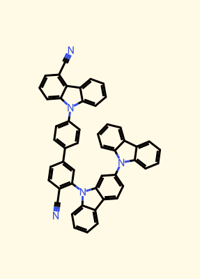 N#Cc1ccc(-c2ccc(-n3c4ccccc4c4c(C#N)cccc43)cc2)cc1-n1c2ccccc2c2ccc(-n3c4ccccc4c4ccccc43)cc21